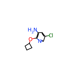 Nc1cc(Cl)cnc1OC1CCC1